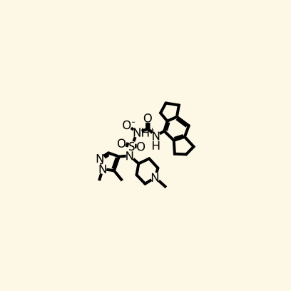 Cc1c(N(C2CCN(C)CC2)S(=O)(=O)[NH+]([O-])C(=O)Nc2c3c(cc4c2CCC4)CCC3)cnn1C